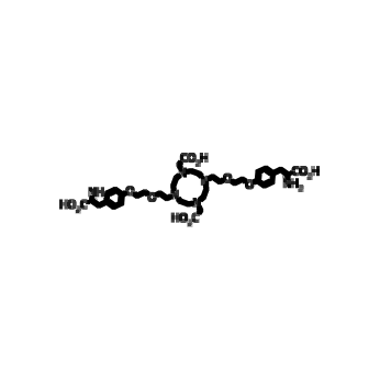 N[C@@H](Cc1ccc(OCCOCCN2CCN(CC(=O)O)CCN(CCOCCOc3ccc(C[C@H](N)C(=O)O)cc3)CCN(CC(=O)O)CC2)cc1)C(=O)O